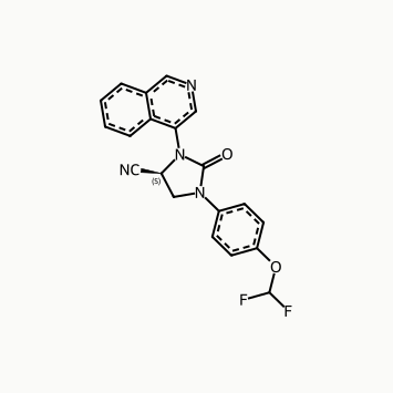 N#C[C@@H]1CN(c2ccc(OC(F)F)cc2)C(=O)N1c1cncc2ccccc12